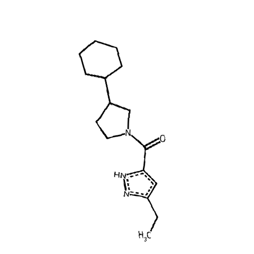 CCc1cc(C(=O)N2CCC(C3CCCCC3)C2)[nH]n1